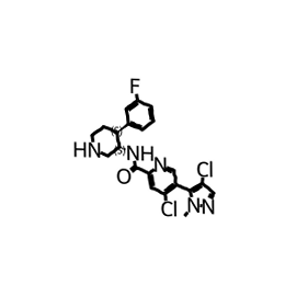 Cn1ncc(Cl)c1-c1cnc(C(=O)N[C@@H]2CNCC[C@H]2c2cccc(F)c2)cc1Cl